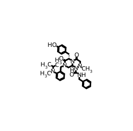 CC(C)N(C)c1ccccc1CN1C[C@H]2N(C(=O)CN(C)N2C(=O)NCc2ccccc2)[C@@H](Cc2ccc(O)cc2)C1=O